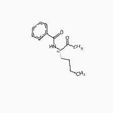 CCCC[C@H](NC(=O)c1ccccc1)C(C)=O